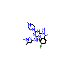 Cc1cc(Nc2nc(NC(C)c3ccc(F)cc3)nc(N3CCN(C)CC3)n2)n[nH]1